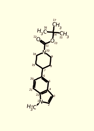 Cn1ccc2cc(C3CCN(C(=O)OC(C)(C)C)CC3)ccc21